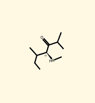 CCC(C)[C@H](NC)C(=O)C(C)C